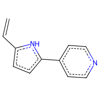 C=Cc1ccc(-c2ccncc2)[nH]1